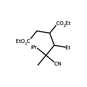 CCOC(=O)CC(C(=O)OCC)C(CC)C(C)(C#N)C(C)C